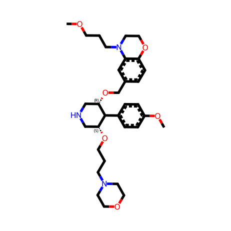 COCCCN1CCOc2ccc(CO[C@H]3CNC[C@@H](OCCCN4CCOCC4)C3c3ccc(OC)cc3)cc21